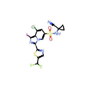 N#CC1(NS(=O)(=O)c2cc(Cl)c3c(I)nc(-c4ncc(C(F)F)s4)n3c2)CC1